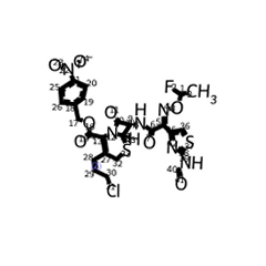 CC(F)ON=C(C(=O)N[C@@H]1C(=O)N2C(C(=O)OCc3ccc([N+](=O)[O-])cc3)=C(/C=C\CCl)CS[C@@H]12)c1csc(NC=O)n1